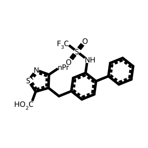 CCCc1nsc(C(=O)O)c1Cc1ccc(-c2ccccc2)c(NS(=O)(=O)C(F)(F)F)c1